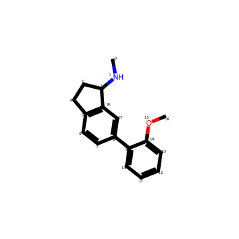 CNC1CCc2ccc(-c3ccccc3OC)cc21